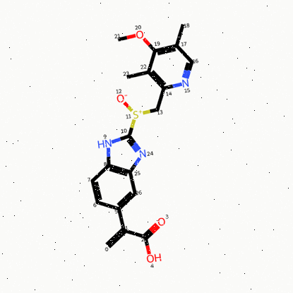 C=C(C(=O)O)c1ccc2[nH]c([S+]([O-])Cc3ncc(C)c(OC)c3C)nc2c1